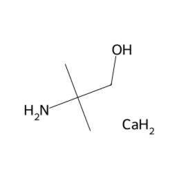 CC(C)(N)CO.[CaH2]